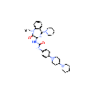 CCCN1C(=O)C(NC(=O)Nc2ccc(N3CCC(N4CCCCC4)CC3)cc2)N=C(N2CCCCC2)c2ccccc21